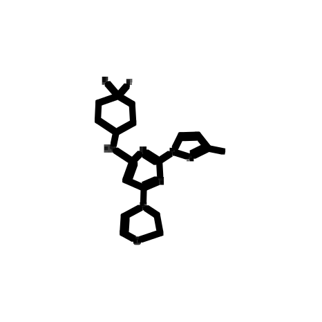 Cc1ccn(-c2nc(NC3CCC(F)(F)CC3)cc(N3C=COCC3)n2)n1